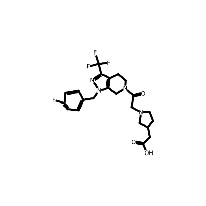 O=C(O)CC1CCN(CC(=O)N2CCc3c(C(F)(F)F)nn(Cc4ccc(F)cc4)c3C2)C1